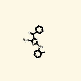 Cc1ccccc1Nc1nc(N)c(C(=O)c2ccccc2)s1